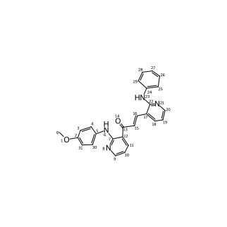 COc1ccc(Nc2ncccc2C(=O)C=Cc2cccnc2Nc2ccccc2)cc1